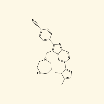 Cc1ccc(-c2ccc3nc(-c4ccc(C#N)cc4)c(CN4CCCNCC4)n3c2)n1C